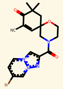 CC1(C)CC2(C=C(C#N)C1=O)CN(C(=O)c1c[n+]3ccc(Br)cn3n1)CCO2